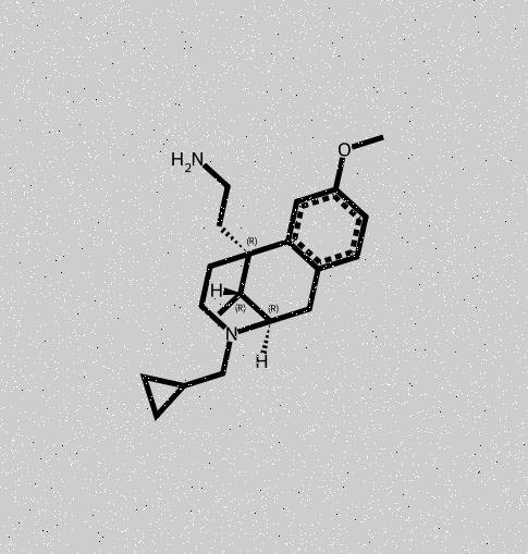 COc1ccc2c(c1)[C@]1(CCN)CCN(CC3CC3)[C@H](C2)[C@@H]1C